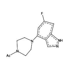 CC(=O)N1CCN(c2cc(F)cc3[nH]ncc23)CC1